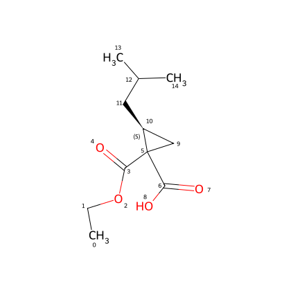 CCOC(=O)C1(C(=O)O)C[C@@H]1CC(C)C